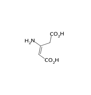 N/C(=C/C(=O)O)CC(=O)O